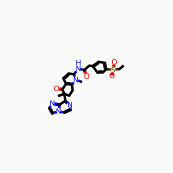 CCS(=O)(=O)c1ccc(CC(=O)NC2C=CC3=C(CCC(C)(c4nccn5ccnc45)C3=O)N2C)cc1